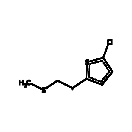 CSC[CH]c1ccc(Cl)s1